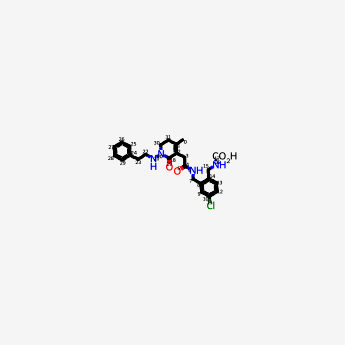 CC1=C(CC(=O)NCc2cc(Cl)ccc2CNC(=O)O)C(=O)N(NCCc2ccccc2)CC1